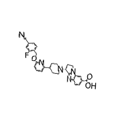 N#Cc1ccc(COc2cccc(C3CCN([C@@H]4CCn5c4nc4ccc(C(=O)O)cc45)CC3)n2)c(F)c1